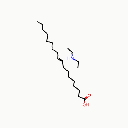 CCCCCCCCC=CCCCCCCCC(=O)O.CCNCC